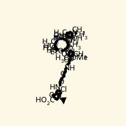 CC[C@H]1OC(=O)[C@H](C)[C@@H](OC2C[C@@](C)(OC)[C@@H](OC(=O)CCNCCOCCOCCNc3cc4c(=O)c(C(=O)O)cn(C5CC5)c4cc3Cl)[C@H](C)O2)[C@H](C)[C@@H](OC2O[C@H](C)C[C@H](N(C)C)[C@H]2O)[C@](C)(O)C[C@@H](C)/C(=N\O)[C@H](C)[C@@H](O)[C@]1(C)O